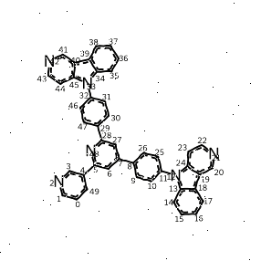 c1cncc(-c2cc(-c3ccc(-n4c5ccccc5c5cnccc54)cc3)cc(-c3ccc(-n4c5ccccc5c5cnccc54)cc3)n2)c1